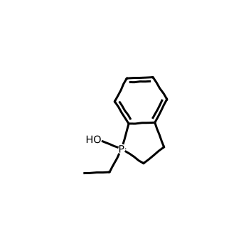 CC[P]1(O)CCc2ccccc21